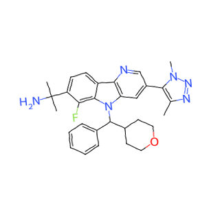 Cc1nnn(C)c1-c1cnc2c3ccc(C(C)(C)N)c(F)c3n(C(c3ccccc3)C3CCOCC3)c2c1